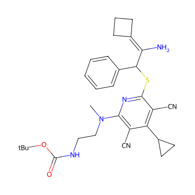 CN(CCNC(=O)OC(C)(C)C)c1nc(SC(C(N)=C2CCC2)c2ccccc2)c(C#N)c(C2CC2)c1C#N